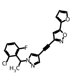 CC(c1c(F)cccc1Cl)n1cc(C#Cc2cc(-c3ccco3)on2)cn1